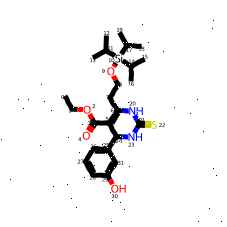 CCOC(=O)C1=C(CCO[Si](C(C)C)(C(C)C)C(C)C)NC(=S)NC1c1cccc(O)c1